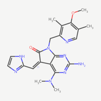 COc1c(C)cnc(CN2C(=O)/C(=C\c3ncc[nH]3)c3c(N(C)C)nc(N)nc32)c1C